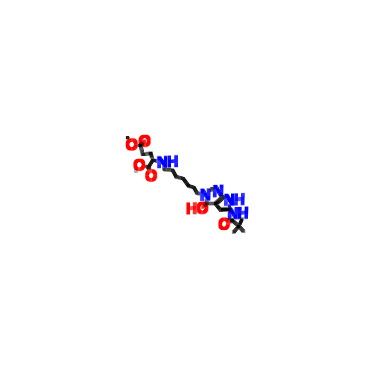 COC(=O)CC[C@@H](NCCCCCCCN1C=Nc2[nH]c(NC(=O)C(C)(C)C)cc2C1O)C(=O)OC